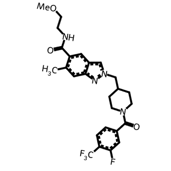 COCCNC(=O)c1cc2cn(CC3CCN(C(=O)c4ccc(C(F)(F)F)c(F)c4)CC3)nc2cc1C